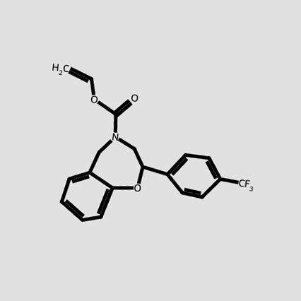 C=COC(=O)N1Cc2ccccc2OC(c2ccc(C(F)(F)F)cc2)C1